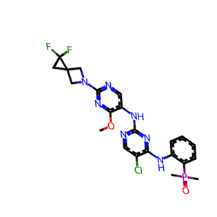 COc1nc(N2CC3(C2)CC3(F)F)ncc1Nc1ncc(Cl)c(Nc2ccccc2P(C)(C)=O)n1